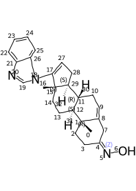 C[C@]12CC/C(=N/O)CC1=CC[C@@H]1[C@@H]2CC[C@]2(C)C(n3cnc4ccccc43)=CC[C@@H]12